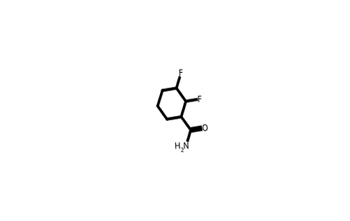 NC(=O)C1CCCC(F)C1F